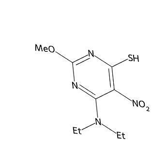 CCN(CC)c1nc(OC)nc(S)c1[N+](=O)[O-]